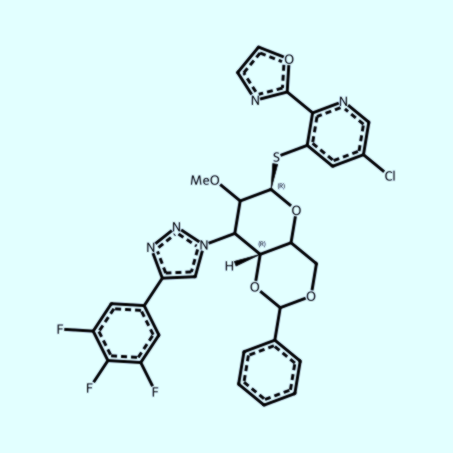 COC1C(n2cc(-c3cc(F)c(F)c(F)c3)nn2)[C@H]2OC(c3ccccc3)OCC2O[C@@H]1Sc1cc(Cl)cnc1-c1ncco1